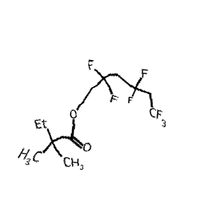 CCC(C)(C)C(=O)OCCC(F)(F)CC(F)(F)CC(F)(F)F